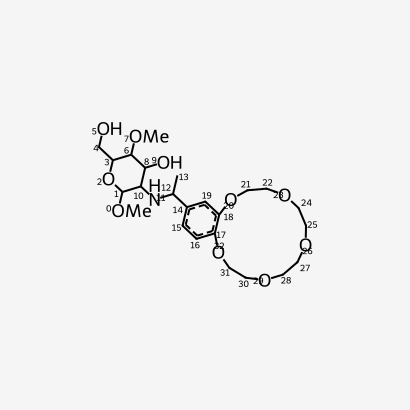 COC1OC(CO)C(OC)C(O)C1NC(C)c1ccc2c(c1)OCCOCCOCCOCCO2